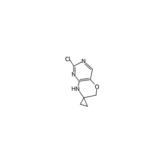 Clc1ncc2c(n1)NC1(CC1)CO2